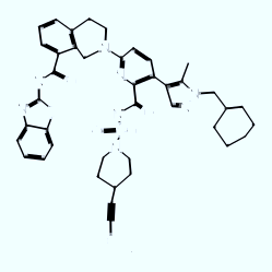 Cc1c(-c2ccc(N3CCc4cccc(C(=O)Nc5nc6ccccc6s5)c4C3)nc2C(=O)NS(=O)(=O)N2CCC(C#CC(=O)O)CC2)cnn1CC1CCCCC1